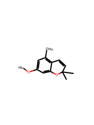 CCCCOc1cc(OC)c2c(c1)OC(C)(C)C=C2